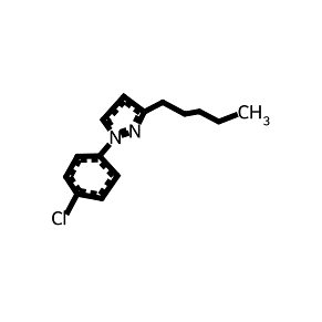 CCCCCc1ccn(-c2ccc(Cl)cc2)n1